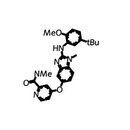 CNC(=O)c1cc(Oc2ccc3c(c2)nc(Nc2cc(C(C)(C)C)ccc2OC)n3C)ccn1